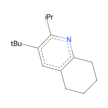 CC(C)c1nc2c(cc1C(C)(C)C)CCCC2